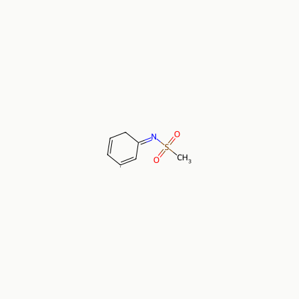 CS(=O)(=O)N=C1C=[C]C=CC1